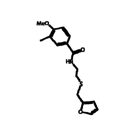 COc1ccc(C(=O)NCCSCc2ccco2)cc1C